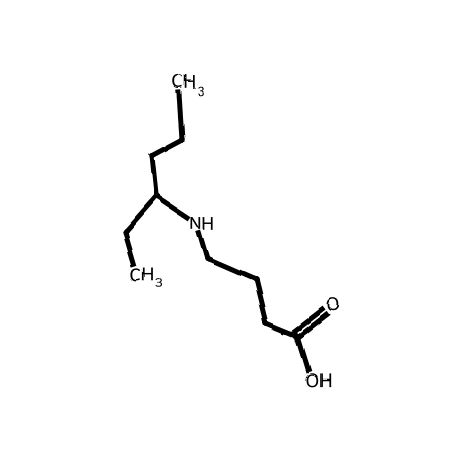 CCCC(CC)NCCCC(=O)O